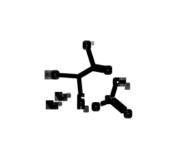 CC(O)C(=O)[O-].C[Si](=O)[O-].[Na+].[Na+]